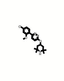 COc1cc(Cl)ccc1-c1ccc(OC2CC(C)(C)NC(C)(C)C2)nn1